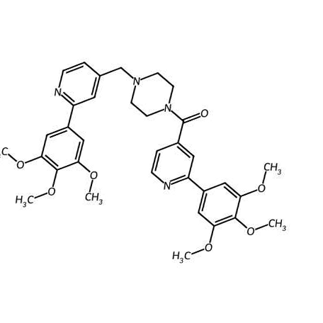 COc1cc(-c2cc(CN3CCN(C(=O)c4ccnc(-c5cc(OC)c(OC)c(OC)c5)c4)CC3)ccn2)cc(OC)c1OC